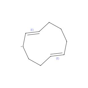 [CH]1/C=C/CCC/C=C/CC1